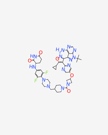 CC(C)(C)n1nc(-c2noc(C3CC3)c2-c2ncc(OC3CN(C(=O)N4CCC(CN5CCN(c6c(F)cc(NC7CCC(=O)NC7=O)cc6F)CC5)CC4)C3)cn2)c2c(N)ncnc21